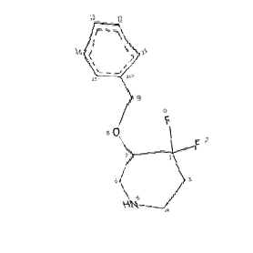 FC1(F)CCNCC1OCc1ccccc1